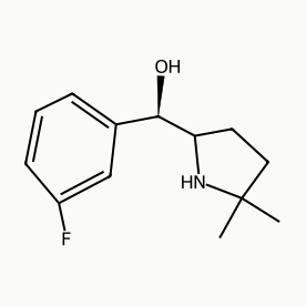 CC1(C)CCC([C@H](O)c2cccc(F)c2)N1